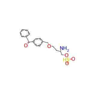 NC(CCOCc1ccc(C(=O)c2ccccc2)cc1)CO[SH](=O)=O